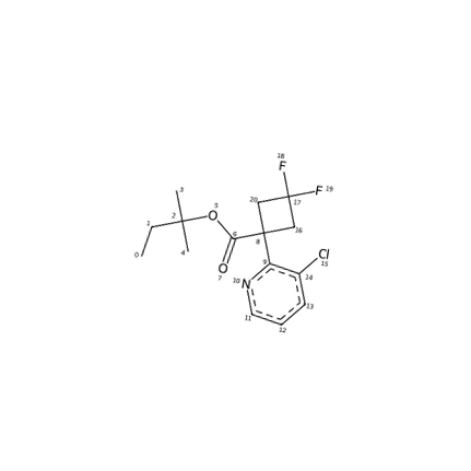 CCC(C)(C)OC(=O)C1(c2ncccc2Cl)CC(F)(F)C1